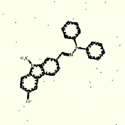 Cn1c2ccc(O)cc2c2ccc(C=NN(c3ccccc3)c3ccccc3)cc21